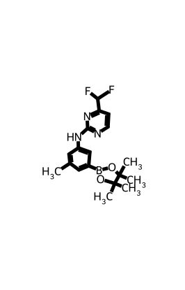 Cc1cc(Nc2nccc(C(F)F)n2)cc(B2OC(C)(C)C(C)(C)O2)c1